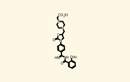 CCOC(=O)CN1CCN(CC2CN(c3ccc(C(=N)NC(=O)c4ccccc4OC(C)=O)cc3)C(=O)O2)CC1